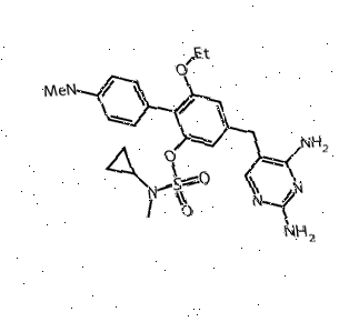 CCOc1cc(Cc2cnc(N)nc2N)cc(OS(=O)(=O)N(C)C2CC2)c1-c1ccc(NC)cc1